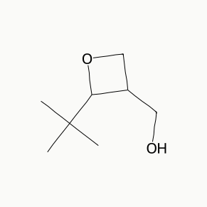 CC(C)(C)C1OCC1CO